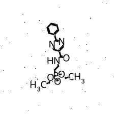 CCOP(=O)(CCNC(=O)c1cnc(-c2ccccc2)nc1)OCC